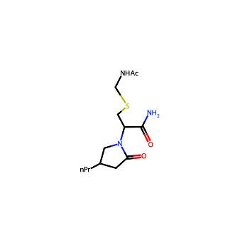 CCCC1CC(=O)N(C(CSCNC(C)=O)C(N)=O)C1